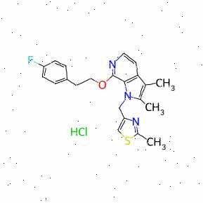 Cc1nc(Cn2c(C)c(C)c3ccnc(OCCc4ccc(F)cc4)c32)cs1.Cl